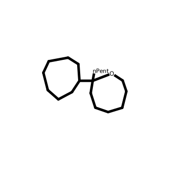 CCCCCC1(C2CCCCCCC2)CCCCCCO1